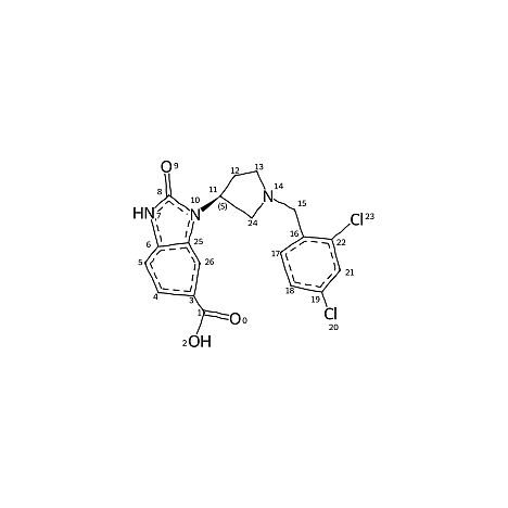 O=C(O)c1ccc2[nH]c(=O)n([C@H]3CCN(Cc4ccc(Cl)cc4Cl)C3)c2c1